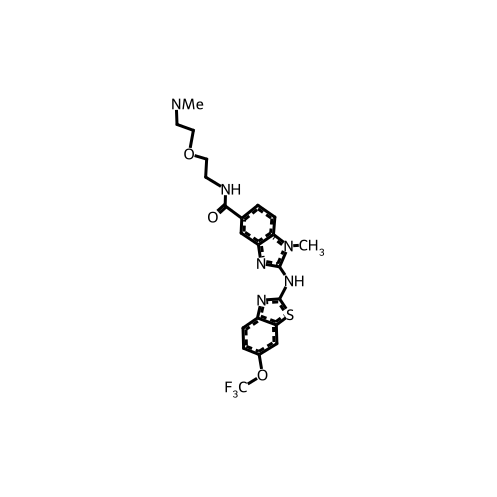 CNCCOCCNC(=O)c1ccc2c(c1)nc(Nc1nc3ccc(OC(F)(F)F)cc3s1)n2C